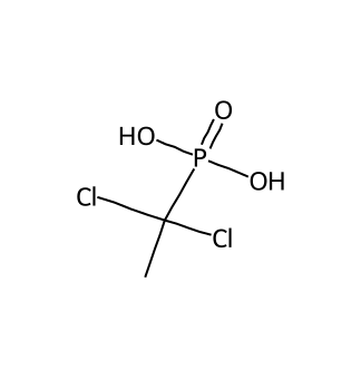 CC(Cl)(Cl)P(=O)(O)O